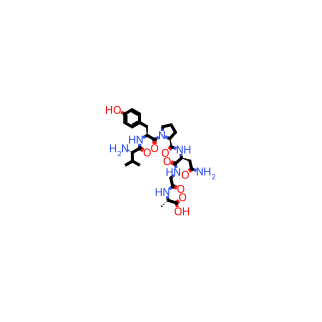 CC(C)[C@H](N)C(=O)N[C@@H](Cc1ccc(O)cc1)C(=O)N1CCC[C@H]1C(=O)N[C@@H](CC(N)=O)C(=O)NCC(=O)N[C@@H](C)C(=O)O